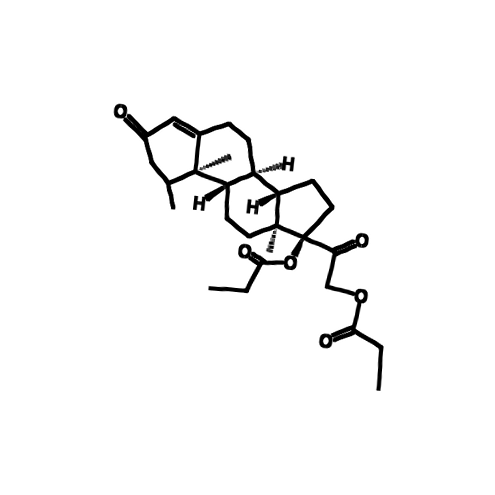 CCC(=O)OCC(=O)[C@@]1(OC(=O)CC)CC[C@H]2[C@@H]3CCC4=CC(=O)CC(C)[C@]4(C)[C@H]3CC[C@@]21C